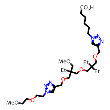 CCC(CC)(COCc1cn(CCCCCC(=O)O)nn1)COCC(CC)(COC)COCc1cn(CCOCCOC)nn1